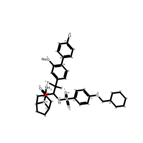 COc1cc(C(F)(F)C(NS(=O)(=O)c2ccc(OCC3CCCCC3)cc2)C(=O)N2C3CCC2CC(N)C3)ccc1-c1ccc(Cl)cc1